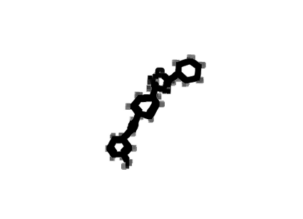 Fc1cccc(C#Cc2ccc(-c3noc(C4CCCCC4)n3)cc2)c1